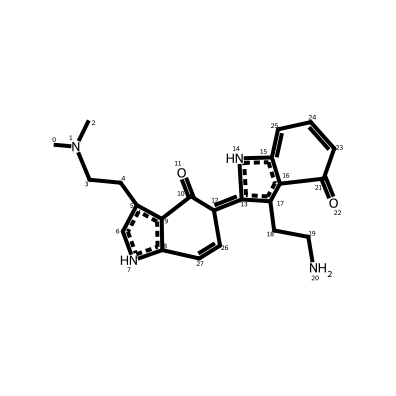 CN(C)CCc1c[nH]c2c1C(=O)C(=c1[nH]c3c(c1CCN)C(=O)C=CC=3)C=C2